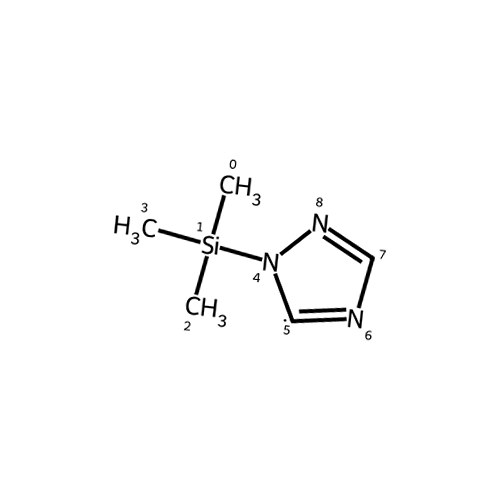 C[Si](C)(C)n1[c]ncn1